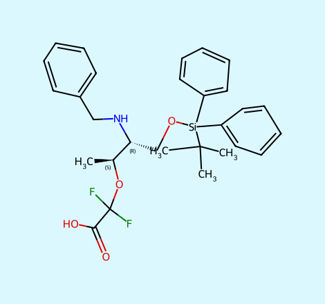 C[C@H](OC(F)(F)C(=O)O)[C@@H](CO[Si](c1ccccc1)(c1ccccc1)C(C)(C)C)NCc1ccccc1